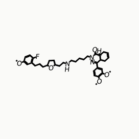 COc1ccc(F)c(CCCC2CCC(CCNCCCCCN3N=C(c4ccc(OC)c(OC)c4)C4CC=CC[C@H]4C3=O)O2)c1